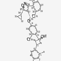 Cc1ccccc1C1CC(O)(c2ccc(OCc3c(-c4c(Cl)cccc4Cl)noc3C3CC3)cc2Cl)C1